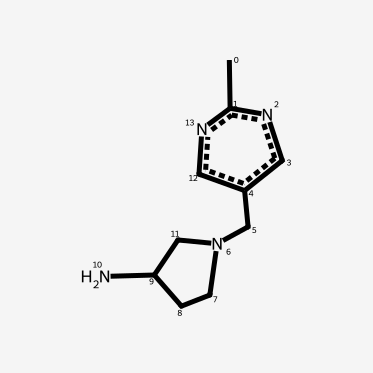 Cc1ncc(CN2CCC(N)C2)cn1